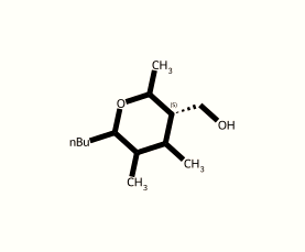 CCCCC1OC(C)[C@H](CO)C(C)C1C